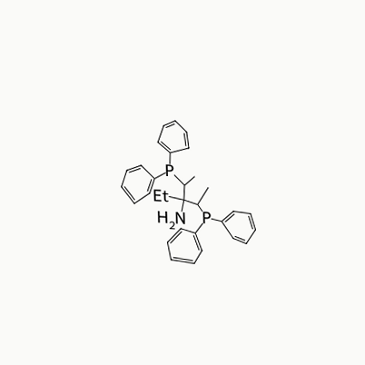 CCC(N)(C(C)P(c1ccccc1)c1ccccc1)C(C)P(c1ccccc1)c1ccccc1